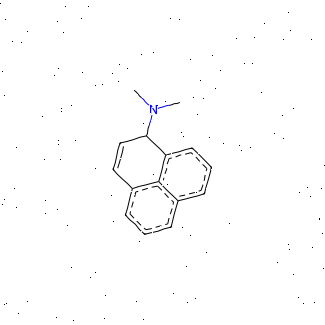 CN(C)C1C=Cc2cccc3cccc1c23